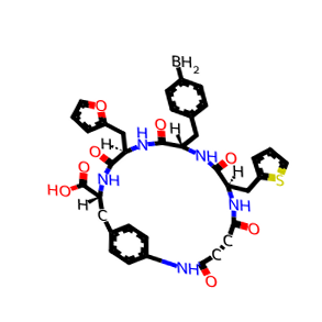 Bc1ccc(C[C@@H]2NC(=O)[C@@H](Cc3cccs3)NC(=O)CCC(=O)Nc3ccc(cc3)C[C@H](C(=O)O)NC(=O)[C@@H](Cc3ccco3)NC2=O)cc1